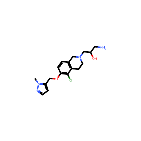 Cn1nccc1COc1ccc2c(c1Cl)CCN(CC(O)CN)C2